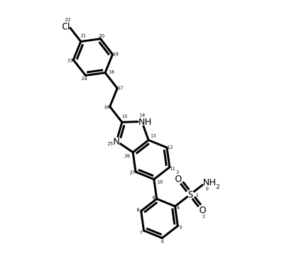 NS(=O)(=O)c1ccccc1-c1ccc2[nH]c(CCc3ccc(Cl)cc3)nc2c1